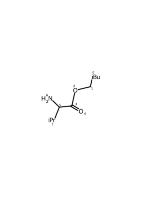 CCC(C)COC(=O)C(N)C(C)C